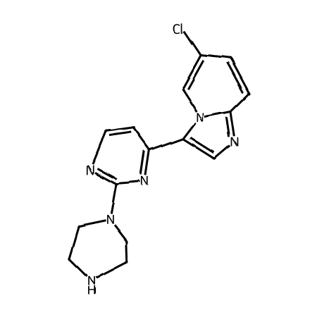 Clc1ccc2ncc(-c3ccnc(N4CCNCC4)n3)n2c1